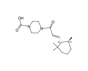 C[C@H]1CCCC(C)(C)[C@@H]1C=CC(=O)N1CCN(C(=O)O)CC1